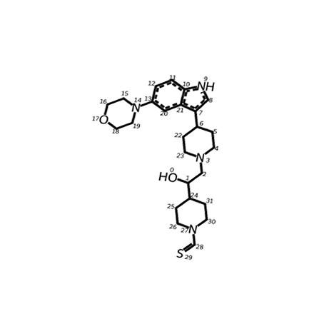 OC(CN1CCC(c2c[nH]c3ccc(N4CCOCC4)cc23)CC1)C1CCN(C=S)CC1